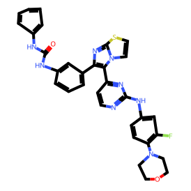 O=C(Nc1ccccc1)Nc1cccc(-c2nc3sccn3c2-c2ccnc(Nc3ccc(N4CCOCC4)c(F)c3)n2)c1